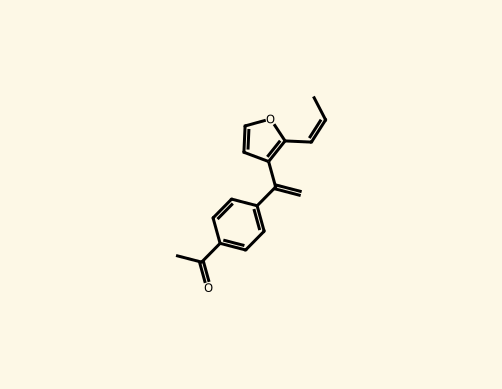 C=C(c1ccc(C(C)=O)cc1)c1ccoc1/C=C\C